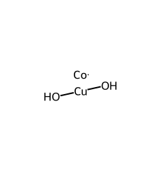 [Co].[OH][Cu][OH]